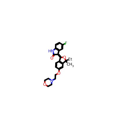 CCC1(C)O/C(=C2/C(=O)Nc3ccc(F)cc32)c2ccc(OCCN3CCOCC3)cc21